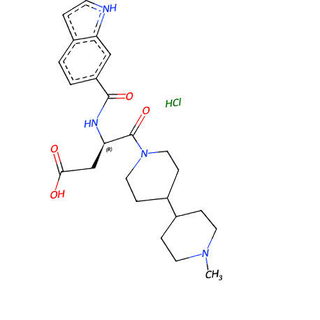 CN1CCC(C2CCN(C(=O)[C@@H](CC(=O)O)NC(=O)c3ccc4cc[nH]c4c3)CC2)CC1.Cl